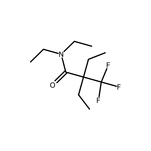 CCN(CC)C(=O)C(CC)(CC)C(F)(F)F